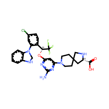 Nc1nc(O[C@H](c2ccc(Cl)cc2N2CNc3ccccc32)C(F)(F)F)cc(N2CCC3(CC2)CN[C@H](C(=O)O)C3)n1